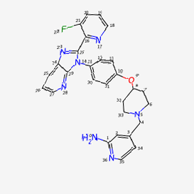 Nc1cc(CN2CCC(Oc3ccc(-n4c(-c5ncccc5F)nc5cccnc54)cc3)CC2)ccn1